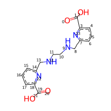 O=C(O)c1cccc(CNCCNCc2cccc(C(=O)O)n2)n1